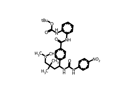 CN(C)CC(C)(C)CC(NC(=O)Nc1ccc([N+](=O)[O-])cc1)c1ccc(C(=O)Nc2ccccc2NC(=O)OC(C)(C)C)cc1